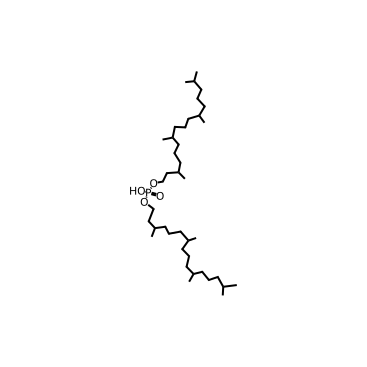 CC(C)CCCC(C)CCCC(C)CCCC(C)CCOP(=O)(O)OCCC(C)CCCC(C)CCCC(C)CCCC(C)C